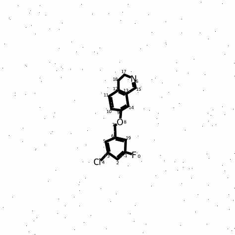 Fc1cc(Cl)cc(COc2ccc3c(c2)C=NCC3)c1